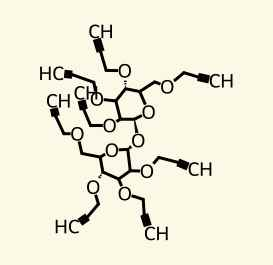 C#CCOCC1O[C@@H](O[C@@H]2OC(COCC#C)[C@@H](OCC#C)C(OCC#C)C2OCC#C)C(OCC#C)C(OCC#C)[C@@H]1OCC#C